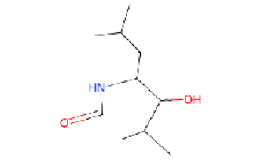 CC(C)CC(NC=O)C(O)C(C)C